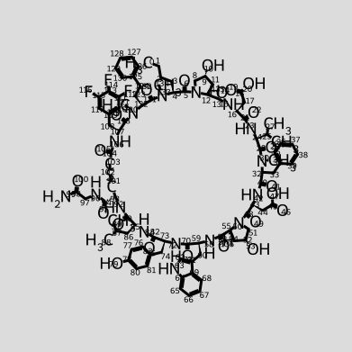 CCCC[C@H]1C(=O)N2C[C@H](O)C[C@@H]2C(=O)N[C@@H](CC(=O)O)C(=O)N[C@@H](C(C)C)C(=O)N(C)C(Cc2ccccc2)C(=O)N[C@@H](CC(=O)O)C(=O)N2C[C@H](O)C[C@H]2C(=O)N[C@@H](Cc2c[nH]c3ccccc23)C(=O)N[C@@H](Cc2ccc(O)cc2)C(=O)N[C@@H](CC(C)C)C(=O)N[C@H](C(=O)NCC(N)=O)CSCC(=O)N[C@@H](Cc2cc(F)c(F)c(F)c2)C(=O)N(C)[C@@H](CCc2ccccc2)C(=O)N1C